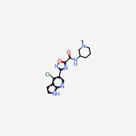 CN1CCCC(NC(=O)c2nc(-c3cnc4[nH]ccc4c3Cl)no2)C1